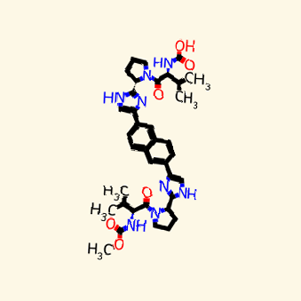 COC(=O)N[C@H](C(=O)N1CCCC1c1nc(-c2ccc3cc(-c4c[nH]c([C@@H]5CCCN5C(=O)[C@@H](NC(=O)O)C(C)C)n4)ccc3c2)c[nH]1)C(C)C